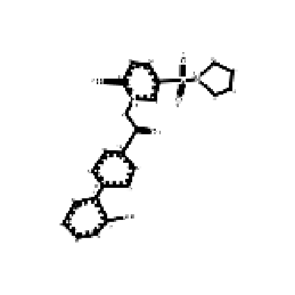 O=C(Cn1cc(S(=O)(=O)N2CCCC2)ccc1=O)c1ccc(-c2ccccc2F)cc1